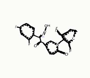 O=C(/C(=N/O)c1ccc(F)cc1F)c1ccc(=O)n(-c2c(F)cccc2F)c1